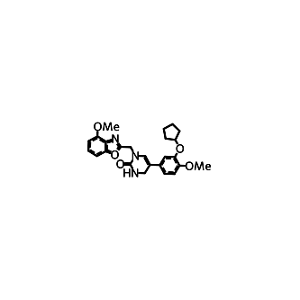 COc1ccc(C2=CN(Cc3nc4c(OC)cccc4o3)C(=O)NC2)cc1OC1CCCC1